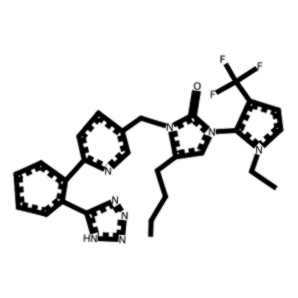 CCCCc1cn(-c2c(C(F)(F)F)ccn2CC)c(=O)n1Cc1ccc(-c2ccccc2-c2nnn[nH]2)nc1